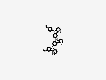 C=Cc1ccc(-n2c3ccc(-n4c5ccc(-n6c7ccc(C=C)cc7c7ncccc76)cc5c5ncccc54)cc3c3ncccc32)cc1